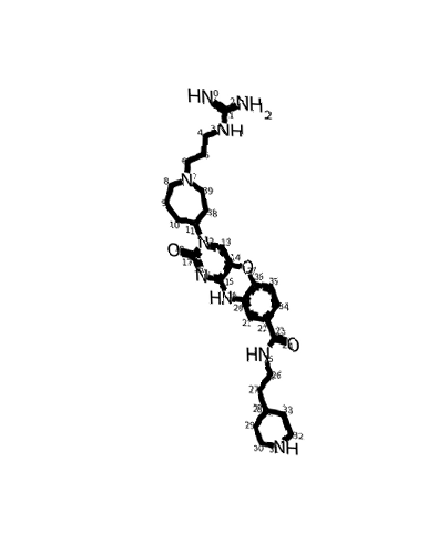 N=C(N)NCCCN1CCCC(n2cc3c(nc2=O)Nc2cc(C(=O)NCCC4CCNCC4)ccc2O3)CC1